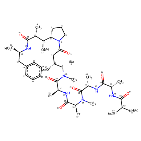 CC[C@H](C)[C@@H]([C@@H](CC(=O)N1CCC[C@H]1[C@H](OC)[C@@H](C)C(=O)N[C@@H](Cc1ccccc1)C(=O)O)OC)N(C)C(=O)[C@@H](NC(=O)[C@H](C(C)C)N(C)C(=O)[C@H](C)NC(=O)[C@H](C)NC(=O)C(NC(C)=O)NC(C)=O)C(C)C